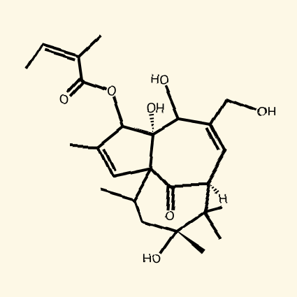 C/C=C(/C)C(=O)OC1C(C)=CC23C(=O)[C@@H](C=C(CO)C(O)[C@]12O)C(C)(C)[C@](C)(O)CC3C